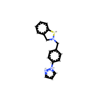 c1ccc2c(c1)CN(Cc1ccc(-n3cccn3)cc1)S2